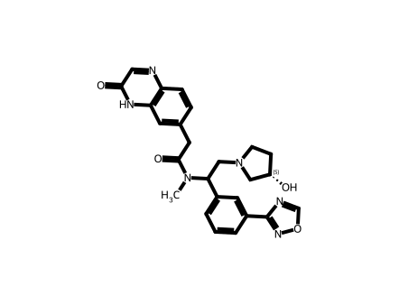 CN(C(=O)Cc1ccc2ncc(=O)[nH]c2c1)C(CN1CC[C@H](O)C1)c1cccc(-c2ncon2)c1